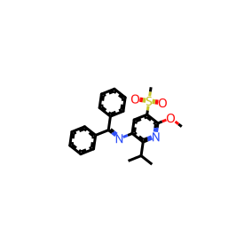 COc1nc(C(C)C)c(N=C(c2ccccc2)c2ccccc2)cc1S(C)(=O)=O